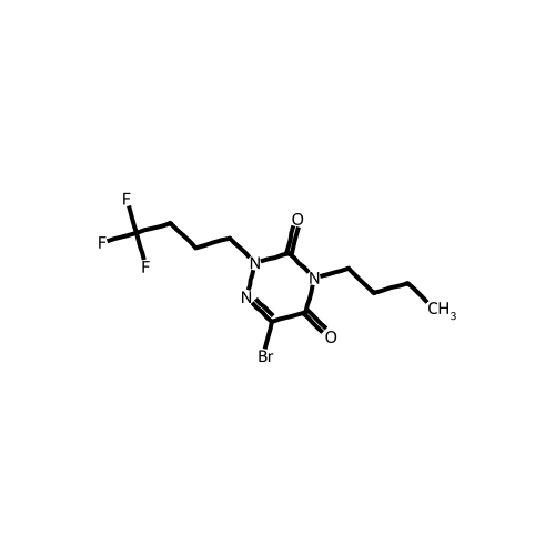 CCCCn1c(=O)c(Br)nn(CCCC(F)(F)F)c1=O